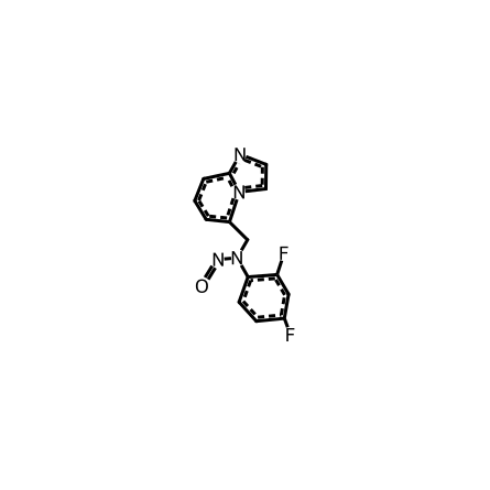 O=NN(Cc1cccc2nccn12)c1ccc(F)cc1F